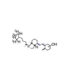 [2H]C([2H])([2H])C(CCC[C@@H](C)[C@H]1CC[C@H]2/C(=C/C=C3/C[C@@H](O)CCC3=C)CCC[C@]12C)C([2H])([2H])[2H]